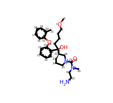 COCCCC[C@@](O)(c1ccccc1Oc1ccccc1C)[C@@H]1CCCN(C(=O)N(C)CCN)C1